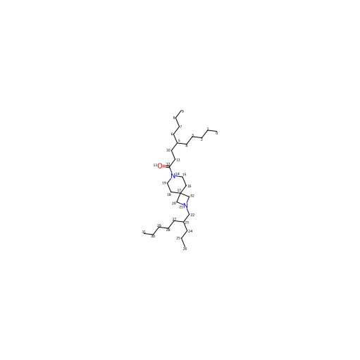 CCCCCC(CCCC)CCC(=O)N1CCC2(CC1)CN(CC(CCC)CCCCC)C2